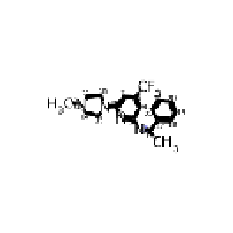 C/C(=N/c1cc(C(F)(F)F)cc(N2CCN(C)CC2)n1)c1ccccc1